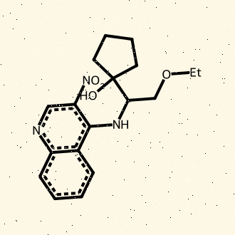 CCOCC(Nc1c([N+](=O)[O-])cnc2ccccc12)C1(O)CCCC1